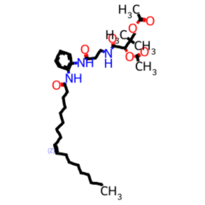 CCCCCCCC/C=C\CCCCCCCC(=O)Nc1ccccc1NC(=O)CCNC(=O)C(OC(C)=O)C(C)(C)COC(C)=O